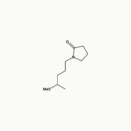 CSC(C)CCCN1CCCC1=O